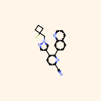 N#Cc1ccc(-c2cnn(CC3(F)CCC3)c2)c(-c2ccc3cccnc3c2)n1